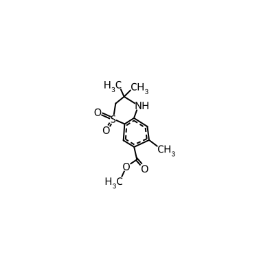 COC(=O)c1cc2c(cc1C)NC(C)(C)CS2(=O)=O